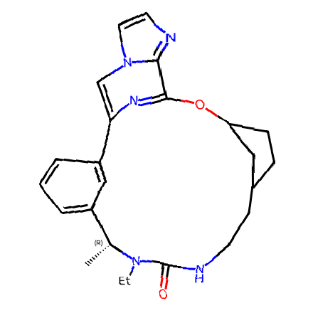 CCN1C(=O)NCCC2CCC(C2)Oc2nc(cn3ccnc23)-c2cccc(c2)[C@H]1C